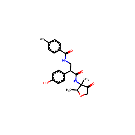 CC(C)c1ccc(C(=O)NCC(C(=O)NC2(C)C(=O)COC2C)c2ccc(O)cc2)cc1